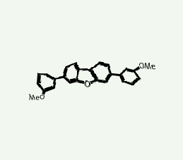 COc1cccc(-c2ccc3c(c2)oc2cc(-c4cccc(OC)c4)ccc23)c1